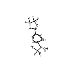 CC1(C)OB(c2ccc(C(O)C(F)(F)F)nc2)OC1(C)C